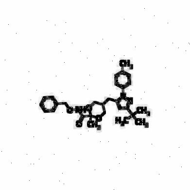 Cc1ccc(-n2nc(C(C)(C)C)cc2CC2COC(C)(C(=O)NOCc3ccccc3)OC2)cc1